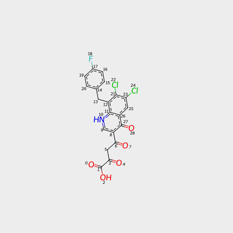 O=C(O)C(=O)CC(=O)c1c[nH]c2c(Cc3ccc(F)cc3)c(Cl)c(Cl)cc2c1=O